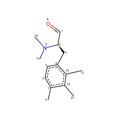 Cc1ccc(C[C@H]([C]=O)N(C)C)c(C)c1C